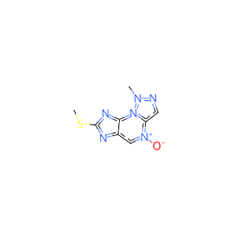 CSc1nc2c[n+]([O-])c3cnn(C)n3c-2n1